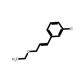 [CH2]COCC=Cc1cccc(Cl)c1